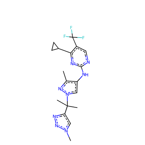 Cc1nn(C(C)(C)c2cn(C)nn2)cc1Nc1ncc(C(F)(F)F)c(C2CC2)n1